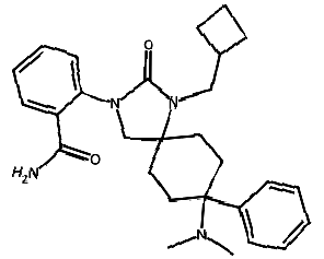 CN(C)C1(c2ccccc2)CCC2(CC1)CN(c1ccccc1C(N)=O)C(=O)N2CC1CCC1